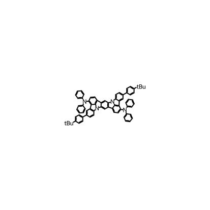 CC(C)(C)c1ccc(-c2ccc3c(c2)c2c(N(c4ccccc4)c4ccccc4)ccc4c5cc6c(cc5n3c42)c2ccc(N(c3ccccc3)c3ccccc3)c3c4cc(-c5ccc(C(C)(C)C)cc5)ccc4n6c23)cc1